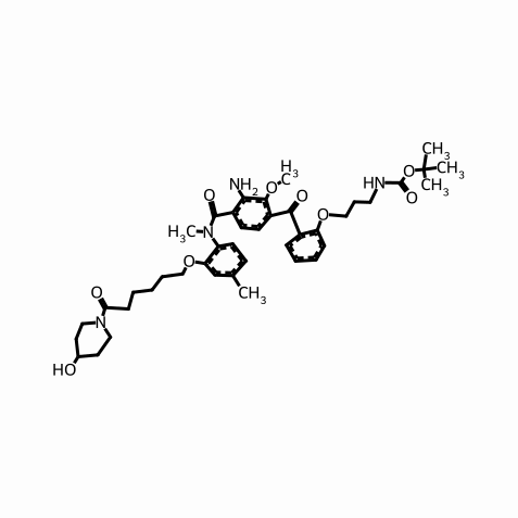 COc1c(C(=O)c2ccccc2OCCCNC(=O)OC(C)(C)C)ccc(C(=O)N(C)c2ccc(C)cc2OCCCCCC(=O)N2CCC(O)CC2)c1N